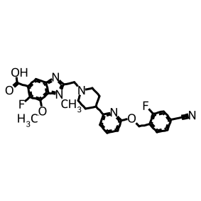 COc1c(F)c(C(=O)O)cc2nc(CN3CCC(c4cccc(OCc5ccc(C#N)cc5F)n4)CC3)n(C)c12